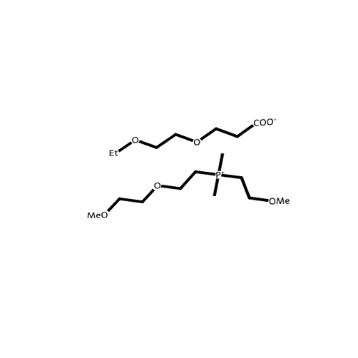 CCOCCOCCC(=O)[O-].COCCOCC[P+](C)(C)CCOC